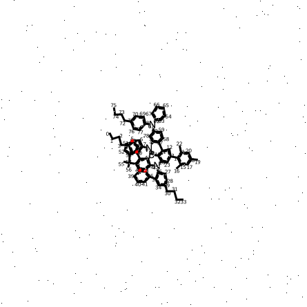 CCCCc1ccc(N2B3c4c(cc(-c5c(C)cc(C)cc5C)cc4N(c4ccc(CCCC)cc4-c4ccccc4)c4ccc5c(c43)-c3ccccc3C5(C)C)-c3ccc(N(c4ccccc4)c4ccc(CCCC)cc4)cc32)cc1